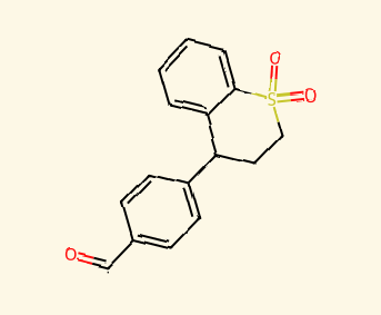 O=[C]c1ccc(C2CCS(=O)(=O)c3ccccc32)cc1